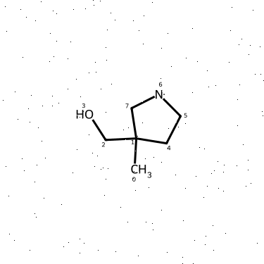 CC1(CO)CC[N]C1